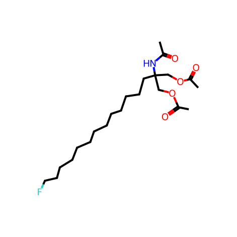 CC(=O)NC(CCCCCCCCCCCCCF)(COC(C)=O)COC(C)=O